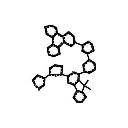 CC1(C)c2ccccc2-c2nc(-c3cccc(-c4cccnc4)c3)nc(-c3cccc(-c4cccc(-c5ccc6c7ccccc7c7ccccc7c6c5)c4)c3)c21